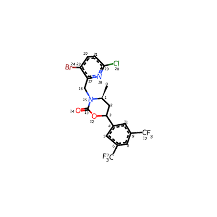 C[C@H]1CC(c2cc(C(F)(F)F)cc(C(F)(F)F)c2)OC(=O)N1Cc1nc(Cl)ccc1Br